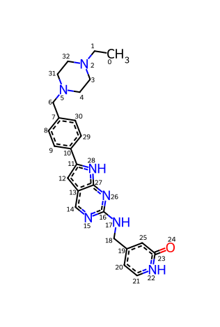 CCN1CCN(Cc2ccc(-c3cc4cnc(NCc5cc[nH]c(=O)c5)nc4[nH]3)cc2)CC1